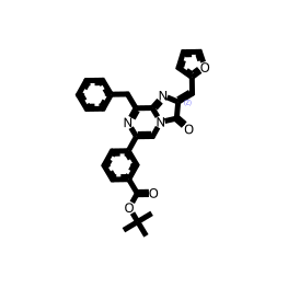 CC(C)(C)OC(=O)c1cccc(C2=CN3C(=O)/C(=C/c4ccco4)N=C3C(Cc3ccccc3)=N2)c1